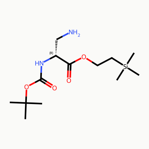 CC(C)(C)OC(=O)N[C@H](CN)C(=O)OCC[Si](C)(C)C